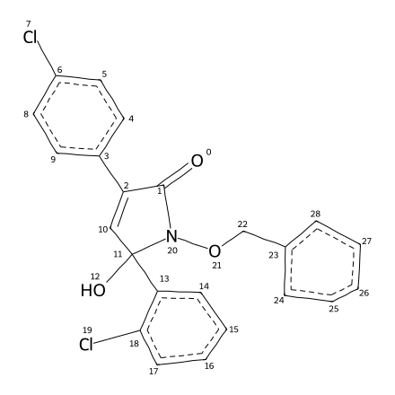 O=C1C(c2ccc(Cl)cc2)=CC(O)(c2ccccc2Cl)N1OCc1ccccc1